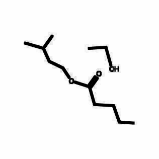 CCCCC(=O)OCCC(C)C.CCO